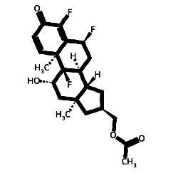 CC(=O)OC[C@@H]1C[C@H]2[C@@H]3C[C@H](F)C4=C(F)C(=O)C=C[C@]4(C)[C@@]3(F)[C@@H](O)C[C@]2(C)C1